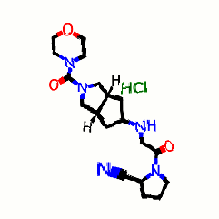 Cl.N#CC1CCCN1C(=O)CNC1C[C@@H]2CN(C(=O)N3CCOCC3)C[C@@H]2C1